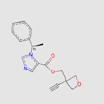 C#CC1(COC(=O)c2cncn2[C@H](C)c2ccccc2)COC1